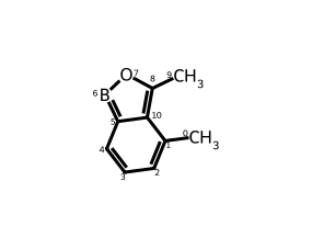 Cc1cccc2boc(C)c12